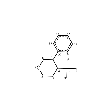 CC(C)(C)C1CCOCC1c1ccccc1